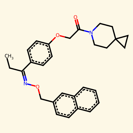 CCC(=NOCc1ccc2ccccc2c1)c1ccc(OCC(=O)N2CCC3(CC2)CC3)cc1